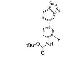 CC(C)(C)OC(=O)Nc1ccc(-c2ccc3scnc3c2)cc1F